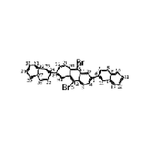 Brc1c2ccc(-c3ccc4ccccc4c3)cc2c(Br)c2ccc(-c3ccc4ccccc4c3)cc12